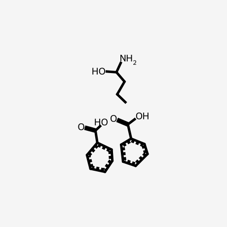 CCCC(N)O.O=C(O)c1ccccc1.O=C(O)c1ccccc1